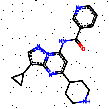 O=C(Nc1cc(C2CCNCC2)nc2c(C3CC3)cnn12)c1cccnc1